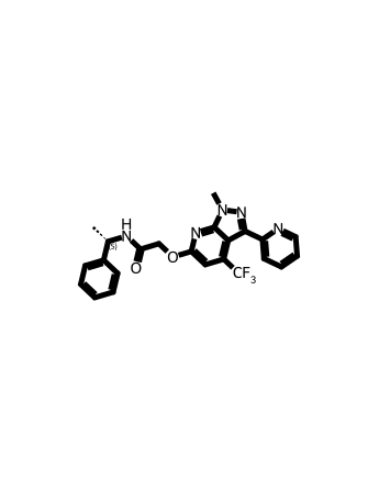 C[C@H](NC(=O)COc1cc(C(F)(F)F)c2c(-c3ccccn3)nn(C)c2n1)c1ccccc1